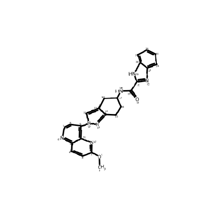 COc1ccc2nccc(-n3cc4c(n3)CCC(NC(=O)c3nc5ccccc5[nH]3)C4)c2n1